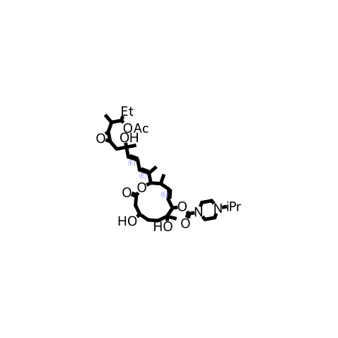 CCC(OC(C)=O)C(C)C1OC1CC(C)(O)/C=C/C=C(\C)C1OC(=O)CC(O)CCC(C)(O)C(OC(=O)N2CCN(C(C)C)CC2)/C=C/C1C